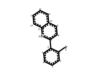 [Ir][c]1ccccc1-c1ccc2ccccc2n1